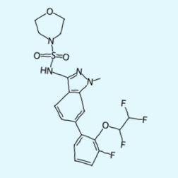 Cn1nc(NS(=O)(=O)N2CCOCC2)c2ccc(-c3cccc(F)c3OC(F)C(F)F)cc21